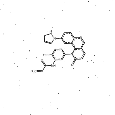 C=CC(=O)Nc1cc(-n2c(=O)ccc3cnc4ccc(N5C=CCN5)cc4c32)ccc1Cl